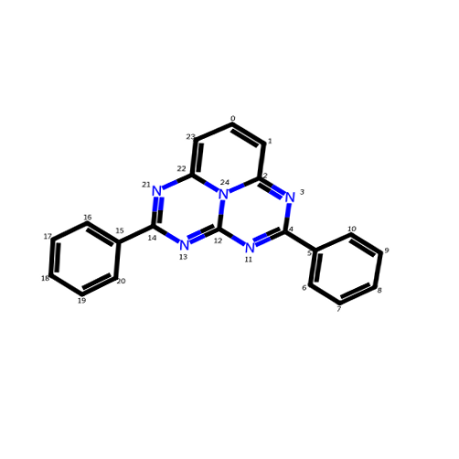 C1=CC2=NC(c3ccccc3)=NC3=NC(c4ccccc4)=NC(=C1)N23